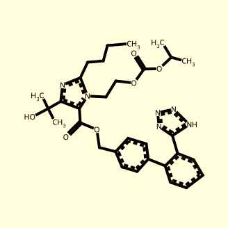 CCCCc1nc(C(C)(C)O)c(C(=O)OCc2ccc(-c3ccccc3-c3nnn[nH]3)cc2)n1CCOC(=O)OC(C)C